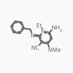 CCn1c(N)cc(NC)c(C#N)c1=NCc1ccccc1